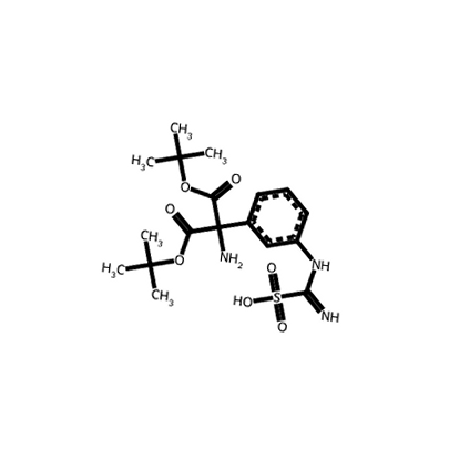 CC(C)(C)OC(=O)C(N)(C(=O)OC(C)(C)C)c1cccc(NC(=N)S(=O)(=O)O)c1